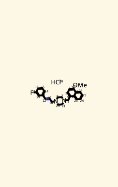 COc1ccc(CN2CCN(C/C=C/c3cccc(F)c3)CC2)c2ccccc12.Cl